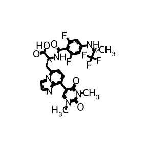 C[C@@H](Nc1cc(F)c(C(=O)N[C@@H](Cc2ccc(-c3cn(C)c(=O)n(C)c3=O)c3nccn23)C(=O)O)c(F)c1)C(F)(F)F